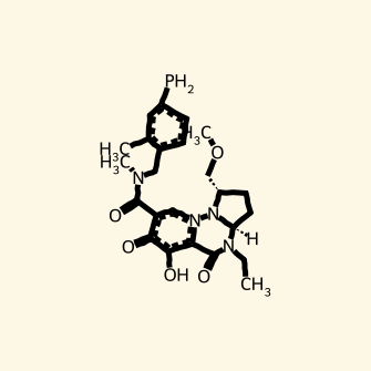 CCN1C(=O)c2c(O)c(=O)c(C(=O)N(C)Cc3ccc(P)cc3C)cn2N2[C@H](COC)CC[C@@H]12